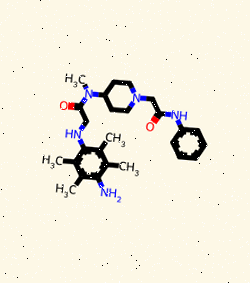 Cc1c(C)c(NCC(=O)N(C)C2CCN(CC(=O)Nc3ccccc3)CC2)c(C)c(C)c1N